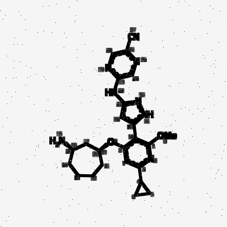 COc1nc(C2CC2)cc(O[C@H]2CCCC[C@@H](N)C2)c1-c1cc(Nc2cnc(C#N)cn2)n[nH]1